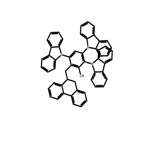 N#Cc1c(CC2Cc3ccccc3-c3ccccc32)c(-n2c3ccccc3c3ccccc32)cc(-n2c3ccccc3c3ccccc32)c1-n1c2ccccc2c2ccccc21